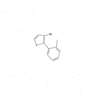 Cc1ccccc1-c1sccc1Br